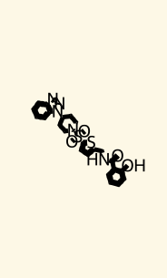 O=C(NCc1ccc(S(=O)(=O)N2CCC(n3nnc4ccccc43)CC2)s1)c1ccccc1O